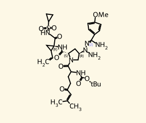 C=CC1C[C@]1(NC(=O)[C@@H]1C[C@@H](N(N)/N=C(\N)c2ccc(OC)cc2)CN1C(=O)C(CCC(=O)C=C(C)C)NC(=O)OC(C)(C)C)C(=O)NS(=O)(=O)C1CC1